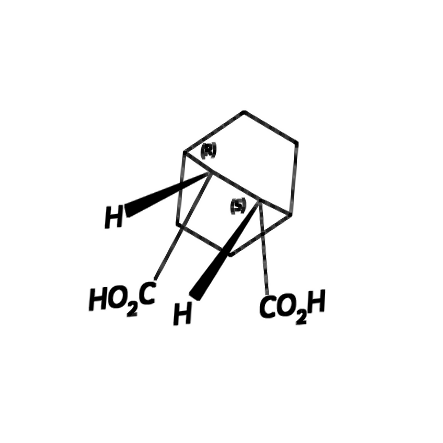 O=C(O)[C@@H]1C2CCC(CC2)[C@@H]1C(=O)O